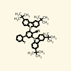 CC(C)(C)c1ccc2c(c1)c1cc(C(C)(C)C)ccc1n2-c1cc(-c2ccccc2F)cc(-n2c3ccc(C(C)(C)C)cc3c3cc(C(C)(C)C)ccc32)c1C#N